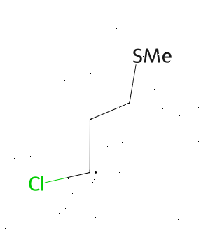 CSCC[CH]Cl